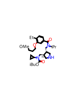 CCc1ccc(C(=O)N(C[C@@H]2CNC[C@H]2CN(C(=O)OCC(C)C)C2CC2)C(C)C)cc1OCCCOC